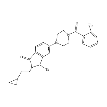 CCC1c2cc(N3CCN(C(=O)c4ccccc4C(F)(F)F)CC3)ccc2C(=O)N1CCC1CC1